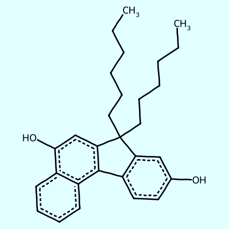 CCCCCCC1(CCCCCC)c2cc(O)ccc2-c2c1cc(O)c1ccccc21